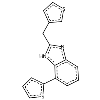 c1csc(-c2cccc3nc(Cc4ccsc4)[nH]c23)c1